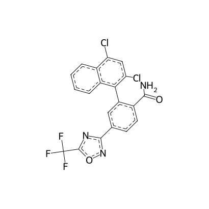 NC(=O)c1ccc(-c2noc(C(F)(F)F)n2)cc1-c1c(Cl)cc(Cl)c2ccccc12